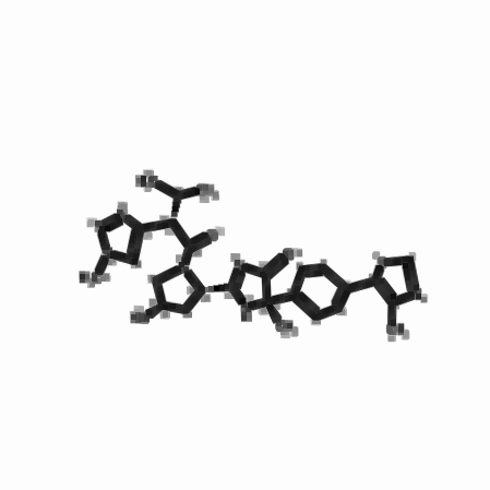 Cc1ncsc1-c1ccc([C@]2(C)NC([C@@H]3C[C@@H](O)CN3C(=O)[C@H](c3cn(C)nn3)C(C)C)=NC2=O)cc1